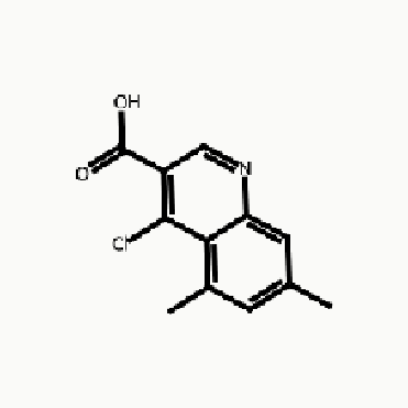 Cc1cc(C)c2c(Cl)c(C(=O)O)cnc2c1